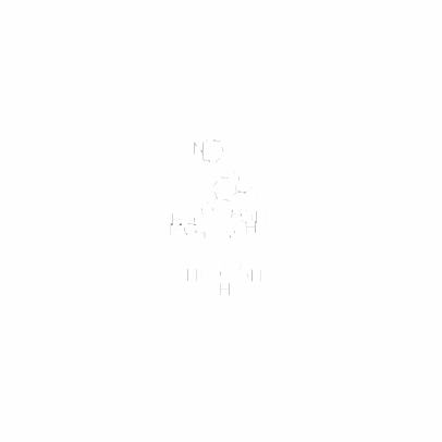 CC1(CO)C2C[C@H](O)C3(C)Oc4cc(-c5cccnc5)oc(=O)c4[C@H](O)C3[C@@]2(C)CC[C@@H]1O